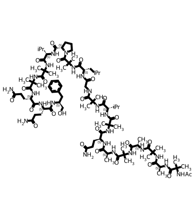 CC(=O)NC(C)(C)C(=O)N[C@@H](C)C(=O)NC(C)(C)C(=O)N[C@@H](C)C(=O)NC(C)(C)C(=O)N[C@@H](C)C(=O)N[C@@H](CCC(N)=O)C(=O)NC(C)(C)C(=O)N[C@H](C(=O)NC(C)(C)C(=O)NCC(=O)N[C@@H](CC(C)C)C(=O)NC(C)(C)C(=O)N1CCC[C@H]1C(=O)N[C@H](C(=O)NC(C)(C)C(=O)NC(C)(C)C(=O)N[C@@H](CCC(N)=O)C(=O)N[C@@H](CCC(N)=O)C(=O)N[C@H](CO)Cc1ccccc1)C(C)C)C(C)C